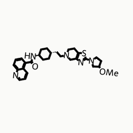 COC1CCN(c2nc3c(s2)CCN(CC[C@H]2CC[C@H](NC(=O)c4cccc5ncccc45)CC2)C3)C1